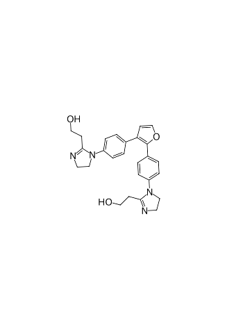 OCCC1=NCCN1c1ccc(-c2ccoc2-c2ccc(N3CCN=C3CCO)cc2)cc1